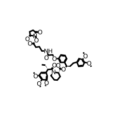 CC[C@H](C(=O)N1CCCC[C@H]1C(=O)O[C@H](CCc1ccc(OC)c(OC)c1)c1cccc(OCC(=O)NCCCC(=O)ON2C(=O)CCC2=O)c1)c1cc(OC)c(OC)c(OC)c1